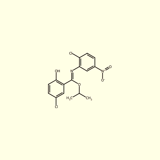 CC(C)O/C(=N\c1cc([N+](=O)[O-])ccc1Cl)c1cc(Cl)ccc1O